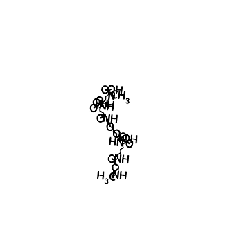 CNc1ccc(C(=O)NCCCC[C@H](NC(=O)COCCOCCNC(=O)CCC(NC(=O)CC[C@H](NC)C(=O)O)C(=O)O)C(=O)O)cc1